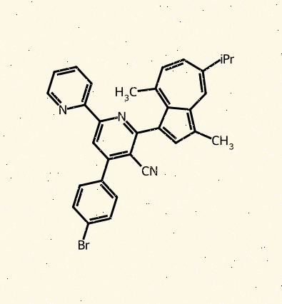 Cc1cc(-c2nc(-c3ccccn3)cc(-c3ccc(Br)cc3)c2C#N)c2c(C)ccc(C(C)C)cc1-2